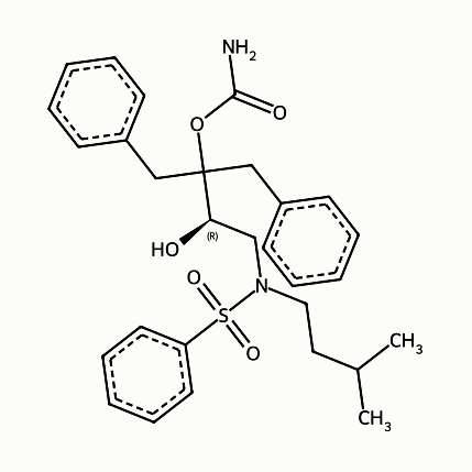 CC(C)CCN(C[C@@H](O)C(Cc1ccccc1)(Cc1ccccc1)OC(N)=O)S(=O)(=O)c1ccccc1